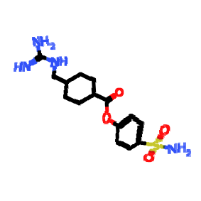 N=C(N)NCC1CCC(C(=O)Oc2ccc(S(N)(=O)=O)cc2)CC1